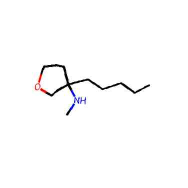 CCCCCC1(NC)CCOC1